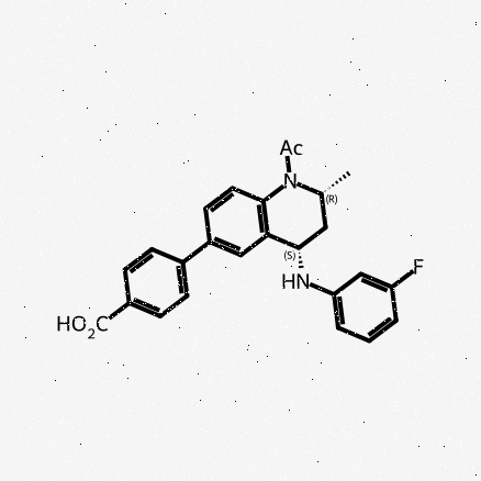 CC(=O)N1c2ccc(-c3ccc(C(=O)O)cc3)cc2[C@@H](Nc2cccc(F)c2)C[C@H]1C